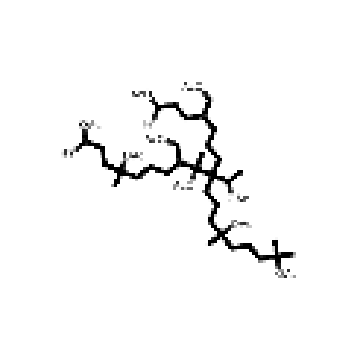 CC(=O)OCC(CCCC(CCCC(C)(CCCC(C)(C)OC(C)=O)OC(C)=O)(C(C)OC(C)=O)C(C)(OC(C)=O)C(CCCC(C)(CCC(OC(C)=O)C(C)C)OC(C)=O)COC(C)=O)CCC(OC(C)=O)C(C)C